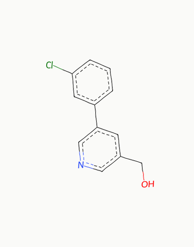 OCc1cncc(-c2cccc(Cl)c2)c1